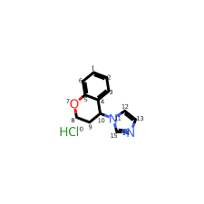 Cl.c1ccc2c(c1)OCCC2n1ccnc1